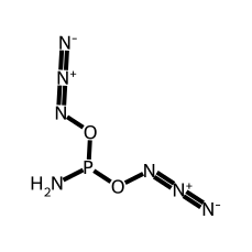 [N-]=[N+]=NOP(N)ON=[N+]=[N-]